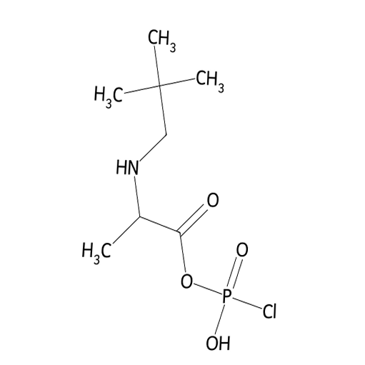 CC(NCC(C)(C)C)C(=O)OP(=O)(O)Cl